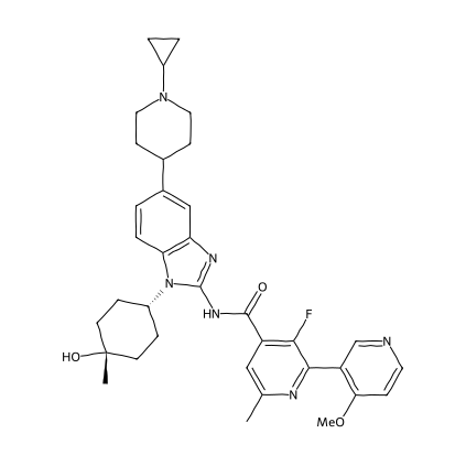 COc1ccncc1-c1nc(C)cc(C(=O)Nc2nc3cc(C4CCN(C5CC5)CC4)ccc3n2[C@H]2CC[C@@](C)(O)CC2)c1F